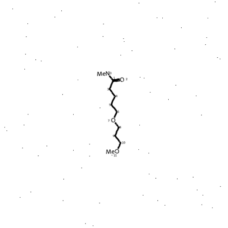 CNC(=O)CCCCOCCCOC